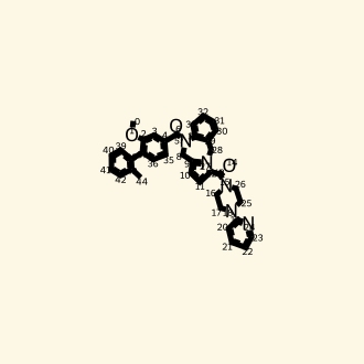 COc1cc(C(=O)N2Cc3ccc(C(=O)N4CCN(c5ccccn5)CC4)n3Cc3ccccc32)ccc1-c1ccccc1C